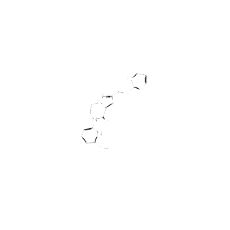 Cc1cccc(N2CCn3nc(COc4ccccn4)cc3C2=O)n1